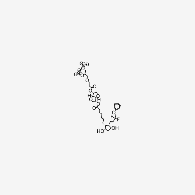 O=C(CCCC=CC[C@@H]1[C@@H](C=CC(F)(F)COc2ccccc2)[C@H](O)C[C@@H]1O)O[C@@H]1CO[C@H]2[C@@H]1OC[C@H]2OC(=O)CCOCC(CO[N+](=O)[O-])O[N+](=O)[O-]